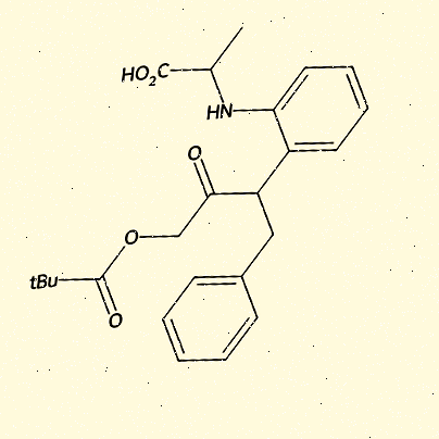 CC(Nc1ccccc1C(Cc1ccccc1)C(=O)COC(=O)C(C)(C)C)C(=O)O